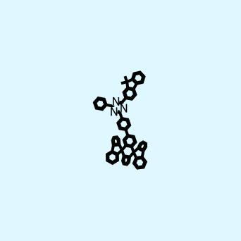 CC1(C)c2ccccc2-c2ccc(-c3nc(-c4ccccc4)nc(-c4ccc(-c5ccc6c(c5)C5(c7ccccc7-c7ccccc75)c5ccccc5C65c6ccccc6-c6ccccc65)cc4)n3)cc21